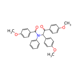 COc1ccc(C(=O)C(c2ccc(OC)cc2)N(C(=O)c2ccc(OC)cc2)c2ccccc2)cc1